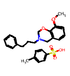 COc1cccc2c1OCN(CCCc1ccccc1)C2.Cc1ccc(S(=O)(=O)O)cc1